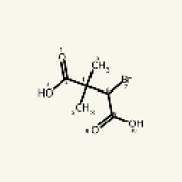 CC(C)(C(=O)O)C(Br)C(=O)O